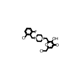 O=c1cc(CCl)oc(CN2CCN(Cc3c(F)cccc3Cl)CC2)c1O